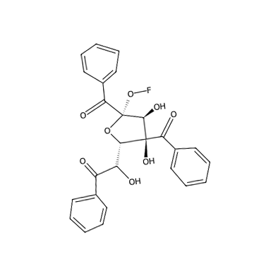 O=C(c1ccccc1)C(O)[C@@H]1O[C@@](OF)(C(=O)c2ccccc2)[C@@H](O)[C@]1(O)C(=O)c1ccccc1